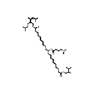 C/C(=C/C(C)C)C(CCC(C)C)CSC(=O)CCCCCCCCCC(CCCCCCCCCC(=O)SCC(C)C(C)C)OC(=O)CCCN(C)C